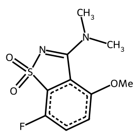 COc1ccc(F)c2c1C(N(C)C)=NS2(=O)=O